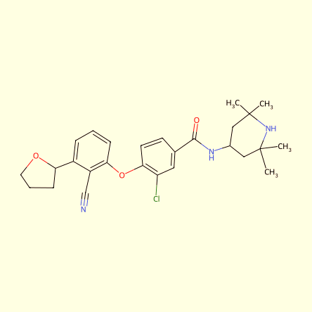 CC1(C)CC(NC(=O)c2ccc(Oc3cccc(C4CCCO4)c3C#N)c(Cl)c2)CC(C)(C)N1